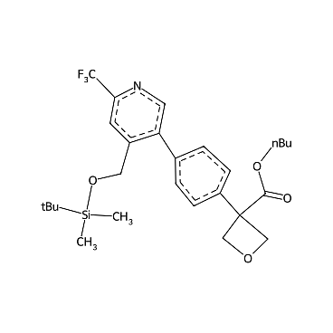 CCCCOC(=O)C1(c2ccc(-c3cnc(C(F)(F)F)cc3CO[Si](C)(C)C(C)(C)C)cc2)COC1